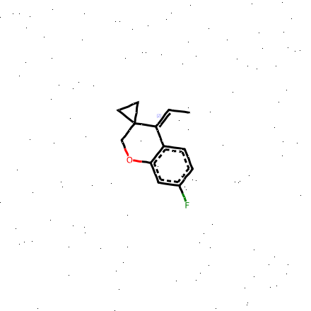 C/C=C1\c2ccc(F)cc2OCC12CC2